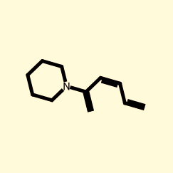 C=C/C=C\C(=C)N1CCCCC1